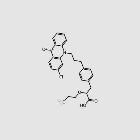 CCCOC(Cc1ccc(CCCN2c3ccccc3[S+]([O-])c3ccc(Cl)cc32)cc1)C(=O)O